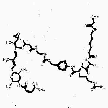 CSCC(=O)NCCCCCC(=O)N[C@H](C(=O)N[C@@H](CCCNC(N)=O)C(=O)Nc1ccc(COC(=O)NCNC(=O)C[C@@H]2C[C@@]3(CO3)[C@H](O)[C@@H](/C=C/C(C)=C/C[C@@H]3O[C@H](C)[C@H](NC(=O)/C=C\[C@H](C)OC(C)=O)C[C@@H]3C)O2)cc1)C(C)C